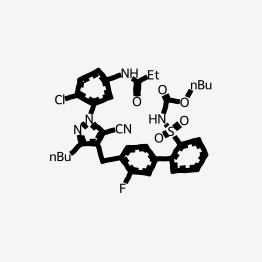 CCCCOC(=O)NS(=O)(=O)c1ccccc1-c1ccc(Cc2c(CCCC)nn(-c3cc(NC(=O)CC)ccc3Cl)c2C#N)c(F)c1